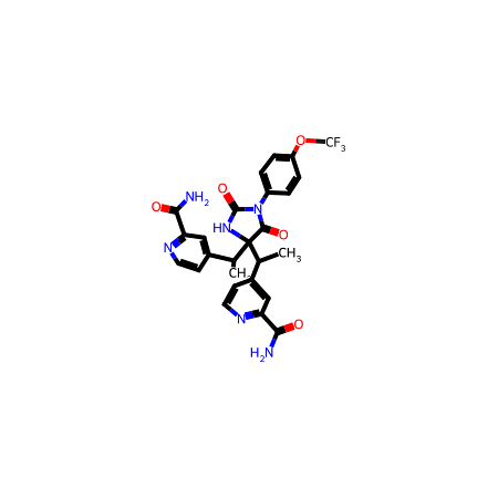 CC(c1ccnc(C(N)=O)c1)C1(C(C)c2ccnc(C(N)=O)c2)NC(=O)N(c2ccc(OC(F)(F)F)cc2)C1=O